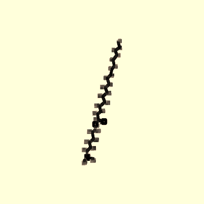 CCCCCCCCCCCCCCCCCC(=O)OCCCCCCN(C)C